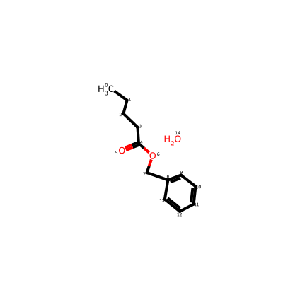 CCCCC(=O)OCc1ccccc1.O